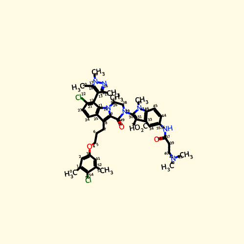 Cc1cc(OCCCc2c3n(c4c(-c5c(C)nn(C)c5C)c(Cl)ccc24)[C@H](C)CN(c2c(C(=O)O)c4cc(NC(=O)CCN(C)C)ccc4n2C)C3=O)cc(C)c1Cl